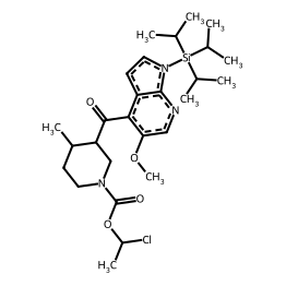 COc1cnc2c(ccn2[Si](C(C)C)(C(C)C)C(C)C)c1C(=O)C1CN(C(=O)OC(C)Cl)CCC1C